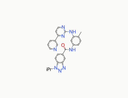 Cc1ccc(NC(=O)c2ccc3c(c2)nnn3C(C)C)cc1Nc1nccc(-c2cccnc2)n1